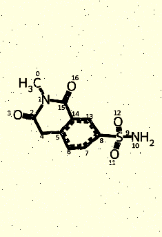 CN1C(=O)Cc2ccc(S(N)(=O)=O)cc2C1=O